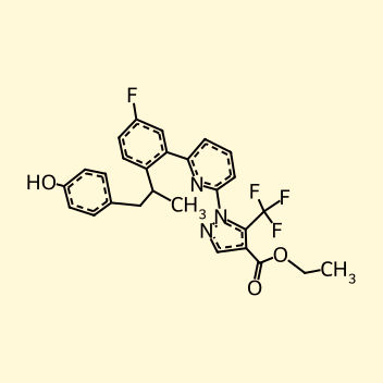 CCOC(=O)c1cnn(-c2cccc(-c3cc(F)ccc3C(C)Cc3ccc(O)cc3)n2)c1C(F)(F)F